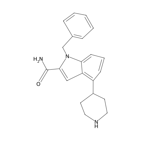 NC(=O)c1cc2c(C3CCNCC3)cccc2n1Cc1ccccc1